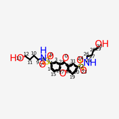 O=c1c2cc(S(=O)(=O)NCCCCO)ccc2oc2ccc(S(=O)(=O)NCCCCO)cc12